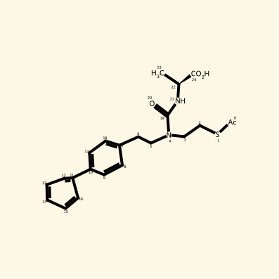 CC(=O)SCCN(CCc1ccc(-c2ccccc2)cc1)C(=O)N[C@@H](C)C(=O)O